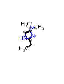 CCc1nc(N(C)C)c[nH]1